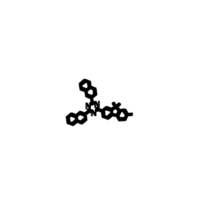 Cc1ccc2c(c1)C(C)(C)c1cc(-c3nc(-c4ccc5ccccc5c4)nc(-c4ccc5ccccc5c4)n3)ccc1-2